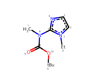 CCn1ccnc1N(C)C(=O)OC(C)(C)C